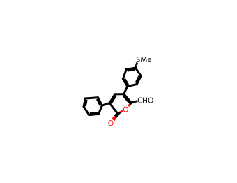 CSc1ccc(-c2cc(-c3ccccc3)c(=O)oc2C=O)cc1